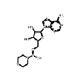 Nc1ncnc2c1ncn2C1OC(COP(O)N2CCOCC2)C(O)C1O